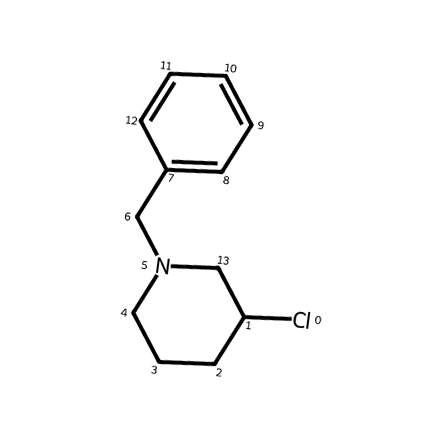 ClC1CCCN(Cc2ccccc2)C1